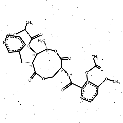 COc1ccnc(C(=O)N[C@H]2COC(=O)[C@H](Cc3cccnc3)[C@@H](OC(=O)C(C)C)[C@H](C)OC2=O)c1OC(C)=O